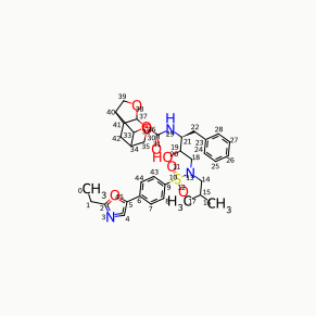 CCc1ncc(-c2ccc(S(=O)(=O)N(CC(C)C)C[C@@H](O)[C@H](Cc3ccccc3)NC(=O)OC3C4COC5OCC3C5C4)cc2)o1